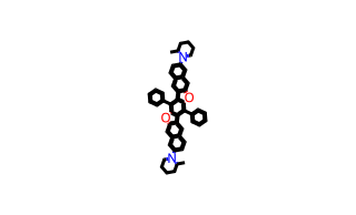 CC1CCCCN1c1ccc2cc3c(cc2c1)oc1c(-c2ccccc2)c2c(oc4cc5cc(N6CCCCC6C)ccc5cc42)c(-c2ccccc2)c13